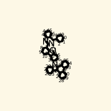 c1ccc(-c2nc(-c3cccc4c3oc3ccc(-n5c6ccccc6c6c7ccccc7c7ccccc7c65)cc34)nc3ccccc23)cc1